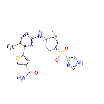 C[C@@H]1CN(S(=O)(=O)c2c[nH]cn2)CC[C@@H]1Nc1ncc(C(F)(F)F)c(-c2cc(C(N)=O)cs2)n1